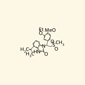 C=C(C)c1cccc2c1[nH]c(=O)n2C(CS(C)(=O)=O)c1ccc(OC)c(OCC)c1